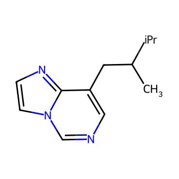 CC(C)C(C)Cc1cncn2ccnc12